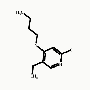 CCCCNc1cc(Cl)ncc1CC